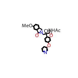 COc1ccc2c(c1)C(=O)N(C[C@](C)(C(=O)NC(C)=O)c1ccc(Oc3cccnc3)cc1)C2